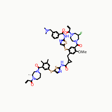 C=CC(=O)N1CCN(C(=O)c2cc(Sc3cnc(NC(=O)c4cccc(CN(C)C)c4)s3)c(CC3CC3C(=O)Nc3ncc(Sc4cc(C)c(C)c(C(=O)N5CCCN(C(=O)C=C)[C@H](C)C5)c4)s3)cc2OC)CC(F)C1